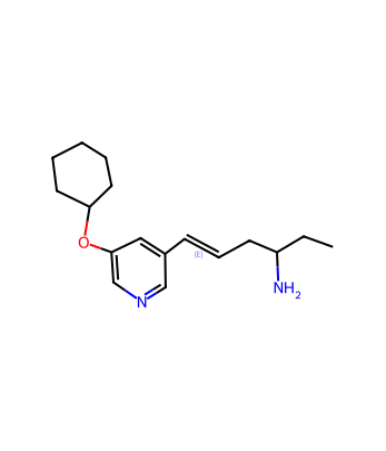 CCC(N)C/C=C/c1cncc(OC2CCCCC2)c1